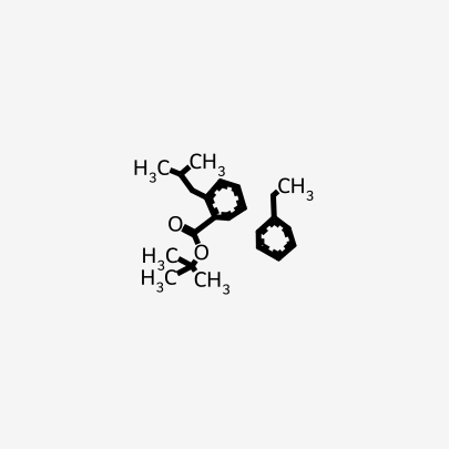 CC(C)Cc1ccccc1C(=O)OC(C)(C)C.CCc1ccccc1